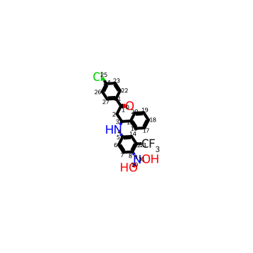 O=C(CC(Nc1ccc(N(O)O)c(C(F)(F)F)c1)c1ccccc1)c1ccc(Cl)cc1